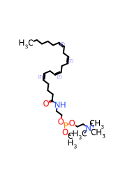 CCCCC/C=C\C/C=C\C/C=C\C/C=C\CCCC(=O)NCCOP(OC)OCC[N+](C)(C)C